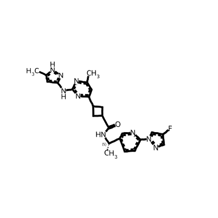 Cc1cc(C2CC(C(=O)N[C@@H](C)c3ccc(-n4cc(F)cn4)nc3)C2)nc(Nc2cc(C)[nH]n2)n1